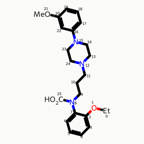 CCOc1ccccc1N(CCCN1CCN(c2cccc(OC)c2)CC1)C(=O)O